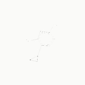 CC(C)(C)c1ccc(C2CC2)c(C#N)c1